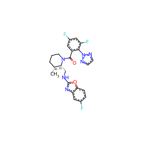 C[C@@H]1CCCN(C(=O)c2cc(F)cc(F)c2-n2nccn2)[C@@H]1CNc1nc2cc(F)ccc2o1